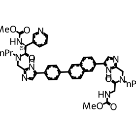 CCCN(Cc1ncc(-c2ccc3cc(-c4ccc(-c5cnc(CN(CCC)C(=O)[C@@H](NC(=O)OC)c6cccnc6)[nH]5)cc4)ccc3c2)[nH]1)C(=O)CNC(=O)OC